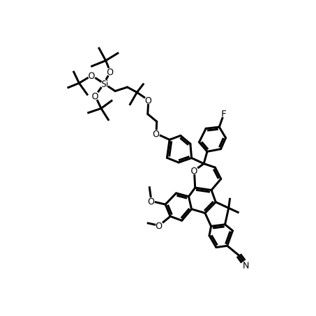 COc1cc2c3c(c4c(c2cc1OC)-c1ccc(C#N)cc1C4(C)C)C=CC(c1ccc(F)cc1)(c1ccc(OCCOC(C)(C)CC[Si](OC(C)(C)C)(OC(C)(C)C)OC(C)(C)C)cc1)O3